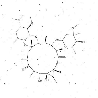 CO[C@H]1[C@H](O[C@@H]2[C@@H](C)[C@H](O[C@H]3C[C@@](C)(OC)[C@@H](O)[C@H](C)O3)[C@@H](C)C(=O)O[C@@H]3C(C)[C@]3(O)[C@H](O)C(C)C(=O)[C@H](C)C[C@]2(C)OC)O[C@H](C)C[C@@H]1N(C)C